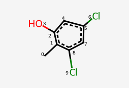 Cc1c(O)cc(Cl)cc1Cl